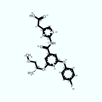 COC[C@@H](C)Oc1cc(C(=O)Nc2nc(CC(=O)O)cs2)cc(Oc2ccc(F)cc2)n1